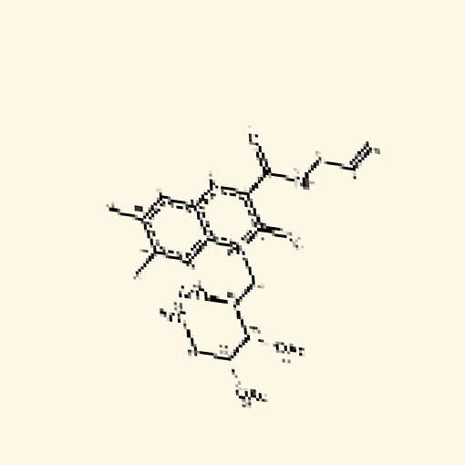 C=CCNC(=O)c1nc2cc(C)c(C)cc2n(C[C@H](OC(C)=O)[C@H](OC(C)=O)[C@@H](COC(C)=O)OC(C)=O)c1=O